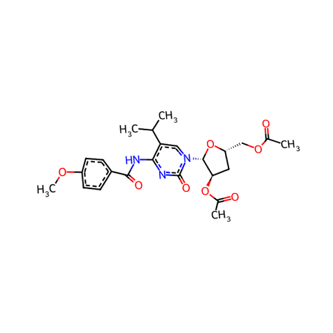 COc1ccc(C(=O)Nc2nc(=O)n([C@@H]3O[C@H](COC(C)=O)C[C@H]3OC(C)=O)cc2C(C)C)cc1